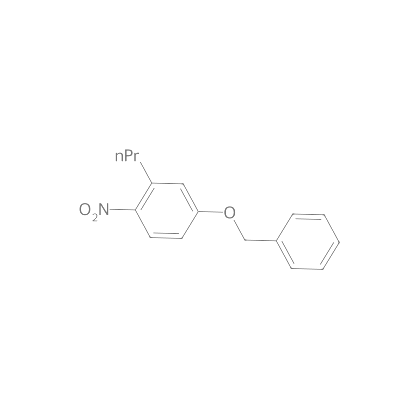 [CH2]CCc1cc(OCc2ccccc2)ccc1[N+](=O)[O-]